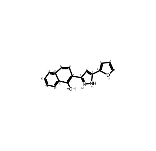 Oc1c(-c2cc(-c3ccco3)[nH]n2)ccc2ccccc12